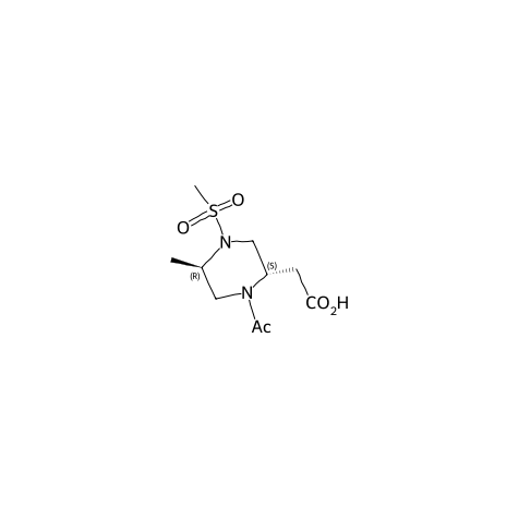 CC(=O)N1C[C@@H](C)N(S(C)(=O)=O)C[C@@H]1CC(=O)O